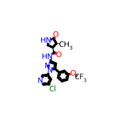 C[C@H]1C(=O)NC[C@@H]1C(=O)Nc1cc(-c2cccc(OC(F)(F)F)c2)n(-c2cncc(Cl)c2)n1